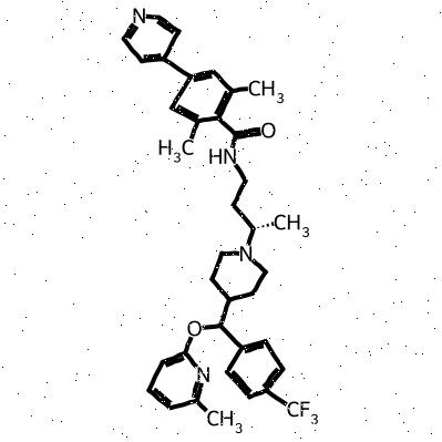 Cc1cccc(OC(c2ccc(C(F)(F)F)cc2)C2CCN([C@@H](C)CCNC(=O)c3c(C)cc(-c4ccncc4)cc3C)CC2)n1